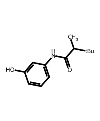 CC(C(=O)Nc1cccc(O)c1)C(C)(C)C